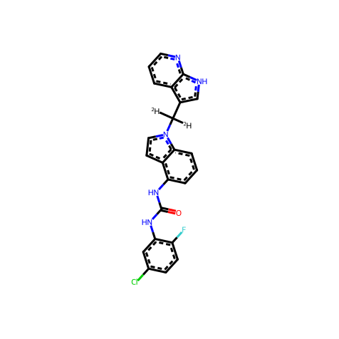 [2H]C([2H])(c1c[nH]c2ncccc12)n1ccc2c(NC(=O)Nc3cc(Cl)ccc3F)cccc21